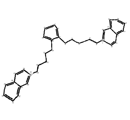 c1ccc(CCCCC[n+]2ccc3ccccc3c2)c(CCCCC[n+]2ccc3ccccc3c2)c1